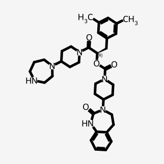 Cc1cc(C)cc(C[C@@H](OC(=O)N2CCC(N3CCc4ccccc4NC3=O)CC2)C(=O)N2CCC(N3CCCNCC3)CC2)c1